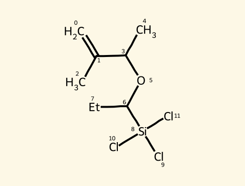 C=C(C)C(C)OC(CC)[Si](Cl)(Cl)Cl